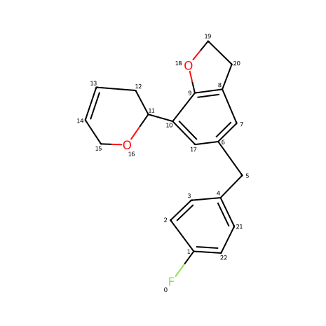 Fc1ccc(Cc2cc3c(c(C4CC=CCO4)c2)OCC3)cc1